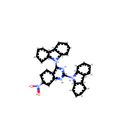 O=[N+]([O-])c1ccc2c(-n3c4ccccc4c4ccccc43)nc(-n3c4ccccc4c4ccccc43)nc2c1